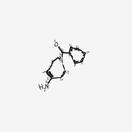 NC1=CCN(C(=O)c2ccccc2)C=C1